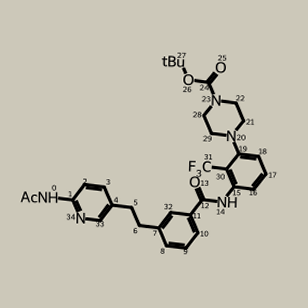 CC(=O)Nc1ccc(CCc2cccc(C(=O)Nc3cccc(N4CCN(C(=O)OC(C)(C)C)CC4)c3C(F)(F)F)c2)cn1